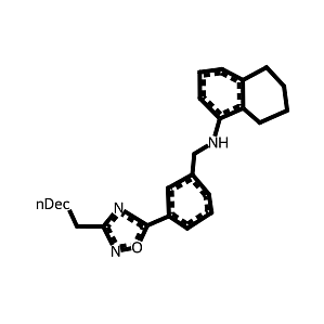 CCCCCCCCCCCc1noc(-c2cccc(CNc3cccc4c3CCCC4)c2)n1